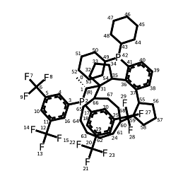 C[C@@H](P(c1cc(C(F)(F)F)cc(C(F)(F)F)c1)c1cc(C(F)(F)F)cc(C(F)(F)F)c1)C12CCCC1c1c(cccc1P(C1CCCCC1)C1CCCCC1)C1CCCC1C1CCCCCC2CC1